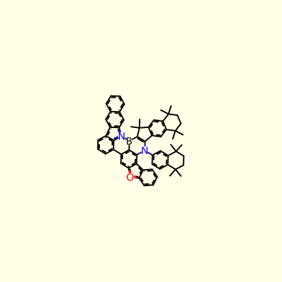 CC1(C)CCC(C)(C)c2cc(N3C4=C(B5c6c(cc7oc8ccccc8c7c63)-c3cccc6c7cc8ccccc8cc7n5c36)C(C)(C)c3cc5c(cc34)C(C)(C)CCC5(C)C)ccc21